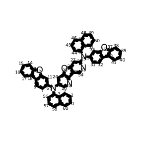 c1ccc2c(N(c3ccc4c(c3)oc3ccccc34)c3cnc4c(c3)oc3cc(N(c5ccc6c(c5)oc5ccccc56)c5cccc6ccccc56)ncc34)cccc2c1